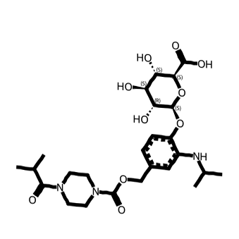 CC(C)Nc1cc(COC(=O)N2CCN(C(=O)C(C)C)CC2)ccc1O[C@@H]1O[C@H](C(=O)O)[C@@H](O)[C@H](O)[C@H]1O